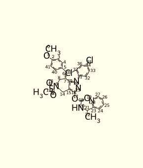 COc1ccc(/C=C2\CN(S(C)(=O)=O)Cc3c(OC(=O)NC(C)c4ccccn4)nn(-c4ccc(Cl)cc4Cl)c32)cc1